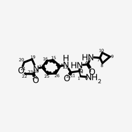 NC[C@H](NC(=O)NC1CCC1)C(=O)Nc1ccc(N2CCOCC2=O)cc1